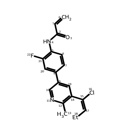 C=CC(=O)Nc1ccc(-c2cnc(C)c(/C(Cl)=C\CC)c2)cc1F